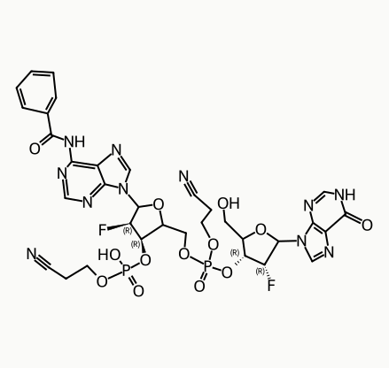 N#CCCOP(=O)(O)O[C@@H]1C(COP(=O)(OCCC#N)O[C@@H]2C(CO)OC(n3cnc4c(=O)[nH]cnc43)[C@@H]2F)OC(n2cnc3c(NC(=O)c4ccccc4)ncnc32)[C@@H]1F